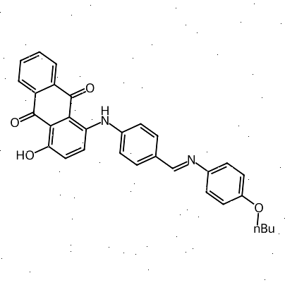 CCCCOc1ccc(/N=C/c2ccc(Nc3ccc(O)c4c3C(=O)c3ccccc3C4=O)cc2)cc1